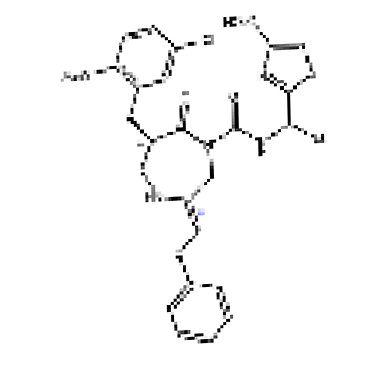 CCC(NC(=O)N1C/C(=N/Oc2ccccc2)NC[C@@H](Cc2cc(Cl)ccc2OC)C1=O)c1nc(C(=O)O)cs1